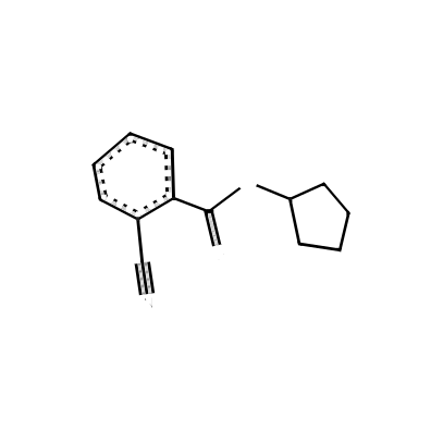 N#Cc1ccccc1C(=O)OC1CCCC1